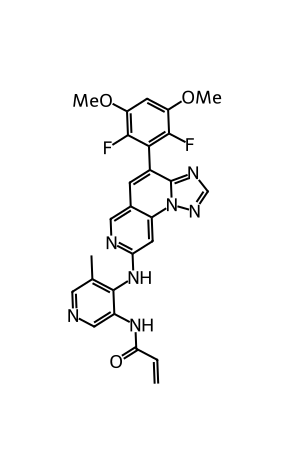 C=CC(=O)Nc1cncc(C)c1Nc1cc2c(cn1)cc(-c1c(F)c(OC)cc(OC)c1F)c1ncnn12